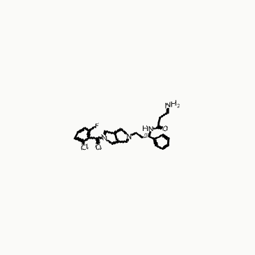 NCCC(=O)N[C@@H](CCN1CC2CN(C(=O)c3c(F)cccc3Cl)CC2C1)c1ccccc1